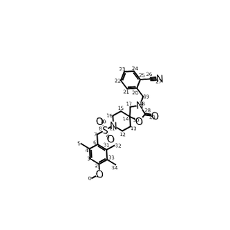 COc1cc(C)c(CS(=O)(=O)N2CCC3(CC2)CN(Cc2ccccc2C#N)C(=O)O3)c(C)c1C